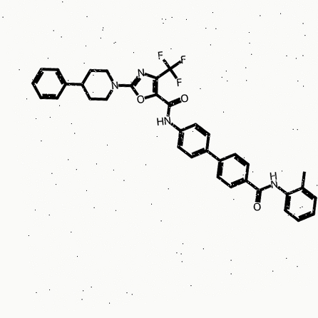 Cc1ccccc1NC(=O)c1ccc(-c2ccc(NC(=O)c3oc(N4CCC(c5ccccc5)CC4)nc3C(F)(F)F)cc2)cc1